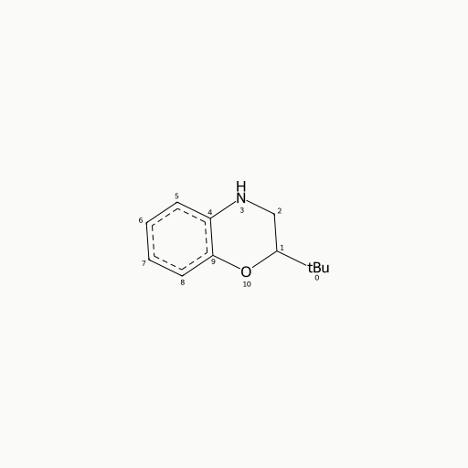 CC(C)(C)C1CNc2ccccc2O1